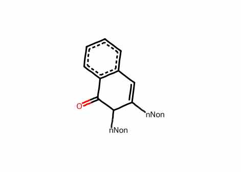 CCCCCCCCCC1=Cc2ccccc2C(=O)C1CCCCCCCCC